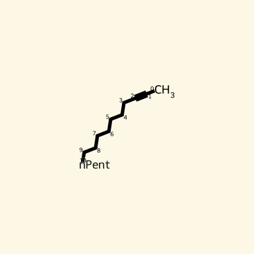 CC#CCCCCCCCCCCCC